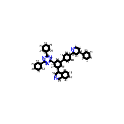 c1ccc(-c2ccnc(-c3ccc(-c4cc(-c5nc(-c6ccccc6)nc(-c6ccccc6)n5)cc(-c5cncc6ccccc56)c4)cc3)c2)cc1